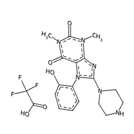 Cn1c(=O)c2c(nc(N3CCNCC3)n2-c2ccccc2O)n(C)c1=O.O=C(O)C(F)(F)F